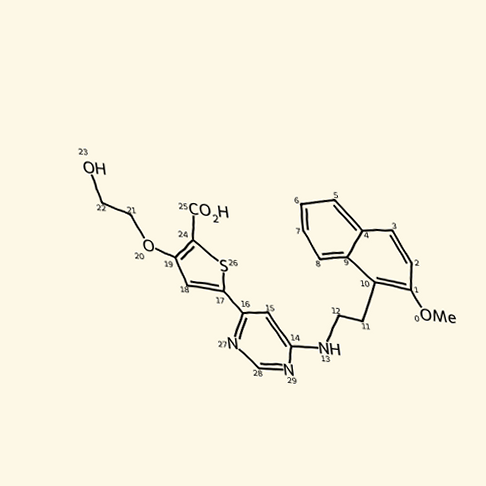 COc1ccc2ccccc2c1CCNc1cc(-c2cc(OCCO)c(C(=O)O)s2)ncn1